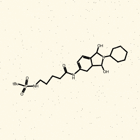 CC(C)(C)S(=O)(=O)NCCCCC(=O)NC1=CC=C2C(C1)C(O)N(C1CCCCC1)C2O